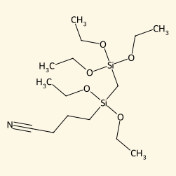 CCO[Si](CCCC#N)(C[Si](OCC)(OCC)OCC)OCC